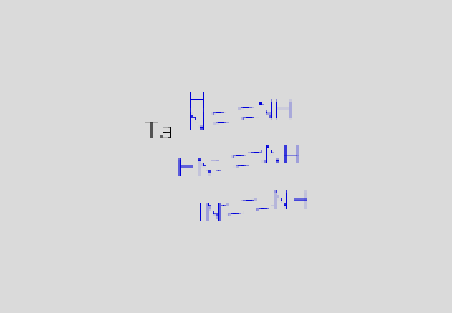 N=N.N=N.N=N.[Ta]